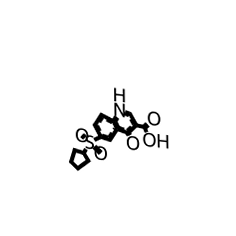 O=C(O)c1c[nH]c2ccc(S(=O)(=O)C3CCCC3)cc2c1=O